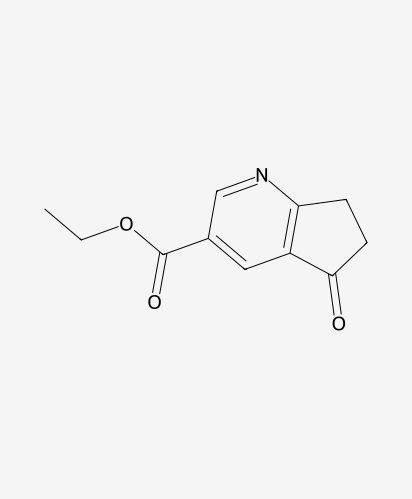 CCOC(=O)c1cnc2c(c1)C(=O)CC2